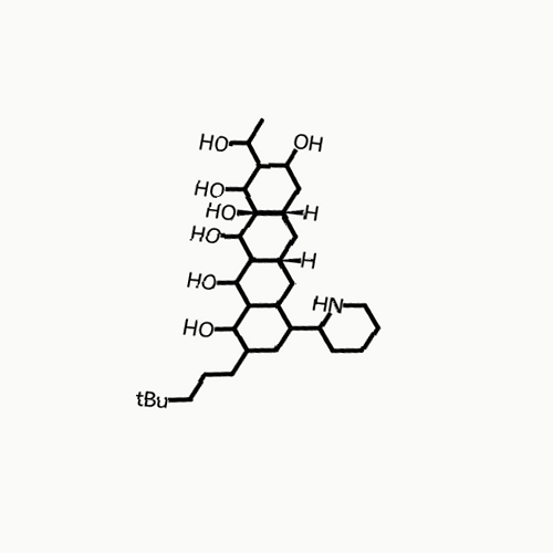 CC(O)C1C(O)C[C@@H]2C[C@@H]3CC4C(C5CCCCN5)CC(CCCC(C)(C)C)C(O)C4C(O)C3C(O)[C@]2(O)C1O